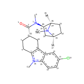 CN(C(=O)[C@H]1CCc2c(c3cc(Cl)ccc3n2C)C1)[C@@H]1C[C@@H]2CC[C@H]1N2C#N